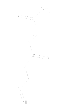 N=NCOC(=O)/N=N/C(N)=O